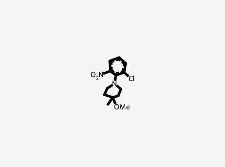 COC1(C)CCN(c2c(Cl)cccc2[N+](=O)[O-])CC1